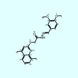 COc1ccc(/C=N/NC(=O)CSc2cc(C)c3cccc(C)c3n2)cc1OC